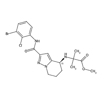 COC(=O)C(C)(C)N[C@H]1CCCn2nc(C(=O)Nc3cccc(Br)c3Cl)cc21